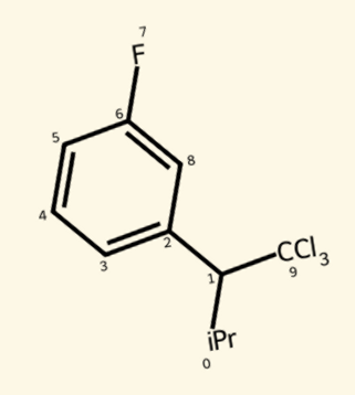 CC(C)C(c1cccc(F)c1)C(Cl)(Cl)Cl